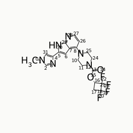 Cn1cnc(-c2cc3c(N4CCN(C(=O)O[C@H]5CC(F)(F)C5(F)F)CC4)ccnc3[nH]2)c1